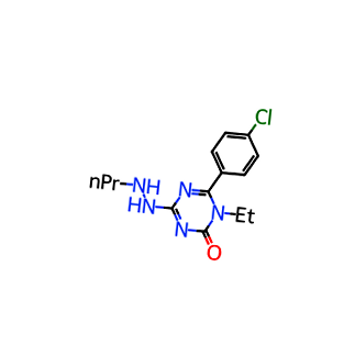 CCCNNc1nc(-c2ccc(Cl)cc2)n(CC)c(=O)n1